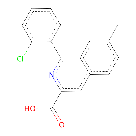 Cc1ccc2cc(C(=O)O)nc(-c3ccccc3Cl)c2c1